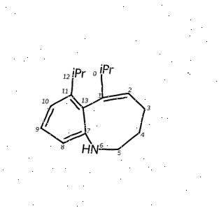 CC(C)/C1=C/CCCNc2cccc(C(C)C)c21